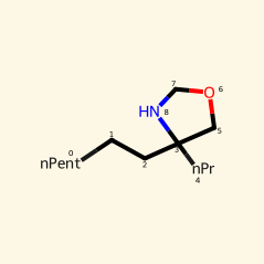 CCCCCCCC1(CCC)COCN1